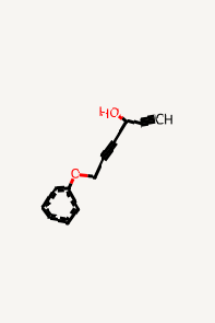 C#CC(O)C#CCOc1ccccc1